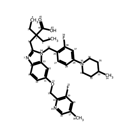 CCC(CC)(Cc1nc2ccc(OCc3ncc(C)cc3F)cc2n1Cc1ccc(N2CCC(C)CC2)cc1F)C(=O)O